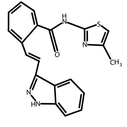 Cc1csc(NC(=O)c2ccccc2/C=C/c2n[nH]c3ccccc23)n1